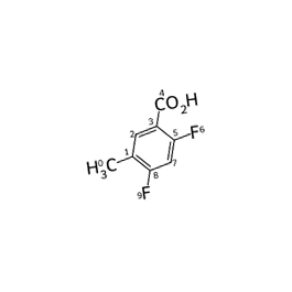 Cc1cc(C(=O)O)c(F)cc1F